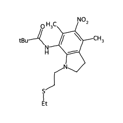 CCSCCN1CCc2c(C)c([N+](=O)[O-])c(C)c(NC(=O)C(C)(C)C)c21